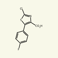 O=C(O)c1nc(Cl)sc1-c1ccc(F)cc1